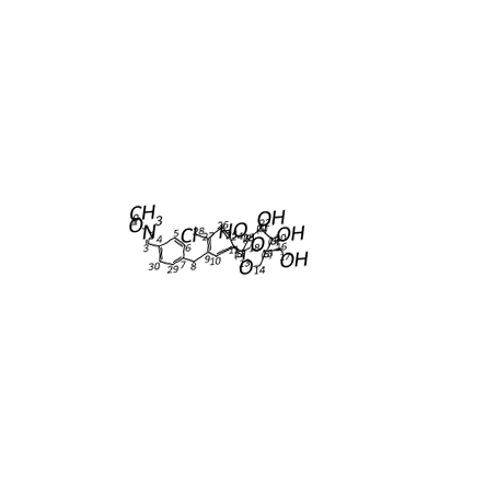 CON=Cc1ccc(Cc2cc([C@]34OC[C@](CO)(O3)[C@@H](O)[C@H](O)[C@H]4O)ccc2Cl)cc1